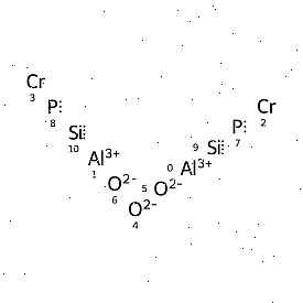 [Al+3].[Al+3].[Cr].[Cr].[O-2].[O-2].[O-2].[P].[P].[Si].[Si]